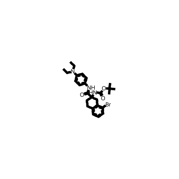 CCN(CC)c1ccc(NC(=O)C2(NC(=O)OC(C)(C)C)CCc3cccc(Br)c3C2)cc1